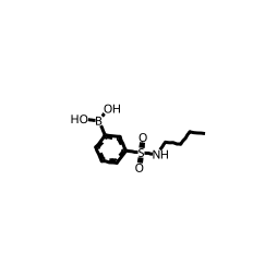 CCCCNS(=O)(=O)c1cccc(B(O)O)c1